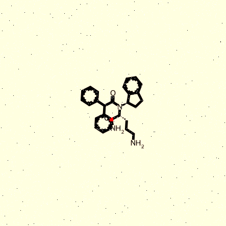 NCCC[C@H](C(N)=O)N(C(=O)C(c1ccccc1)c1ccccc1)[C@@H]1CCc2ccccc21